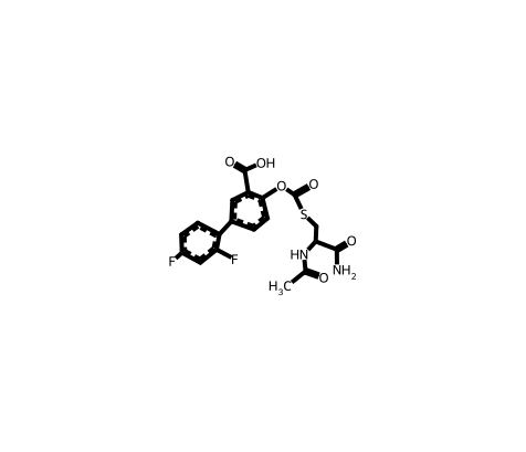 CC(=O)NC(CSC(=O)Oc1ccc(-c2ccc(F)cc2F)cc1C(=O)O)C(N)=O